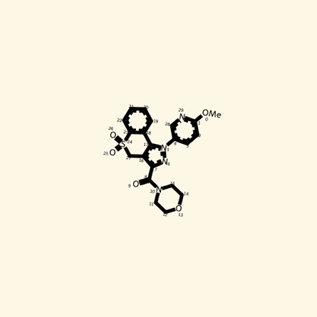 COc1ccc(-n2nc(C(=O)N3CCOCC3)c3c2-c2ccccc2S(=O)(=O)C3)cn1